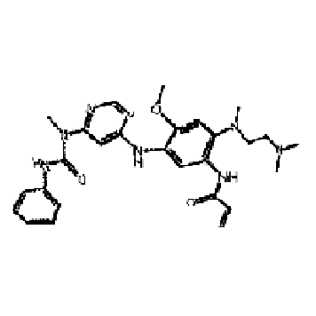 C=CC(=O)Nc1cc(Nc2cc(N(C)C(=O)Nc3ccccc3)ncn2)c(OC)cc1N(C)CCN(C)C